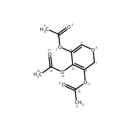 CC(=O)OC1=COCC(OC(C)=O)=C1OC(C)=O